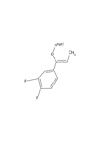 [CH2]CCCCOC(=CC)c1ccc(F)c(F)c1